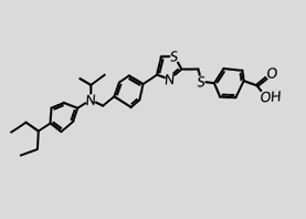 CCC(CC)c1ccc(N(Cc2ccc(-c3csc(CSc4ccc(C(=O)O)cc4)n3)cc2)C(C)C)cc1